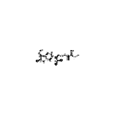 CCC(=O)NCC1CN(c2ccc3c(c2)CC(=O)N3CC)C(=O)O1